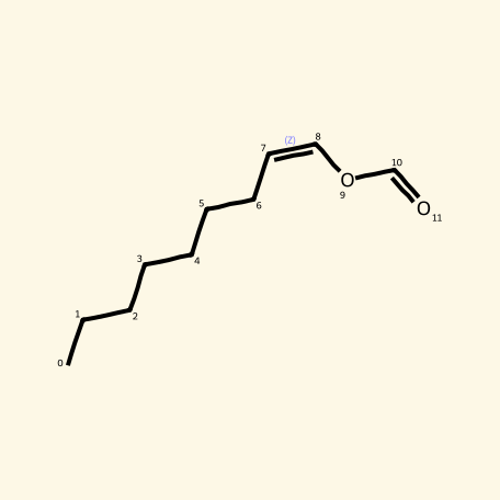 CCCCCCC/C=C\OC=O